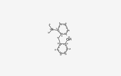 CN(C)c1c[c]ccc1Cc1ccccc1O